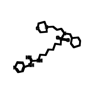 N=C(NCCCCCCS(=O)(=O)N(CCCN1CCOCC1)CC1CCCCC1)Nc1ccncc1